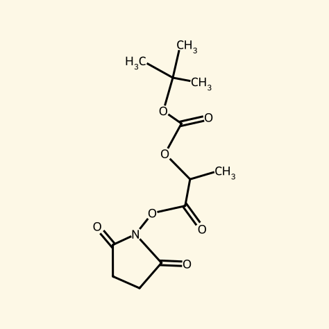 CC(OC(=O)OC(C)(C)C)C(=O)ON1C(=O)CCC1=O